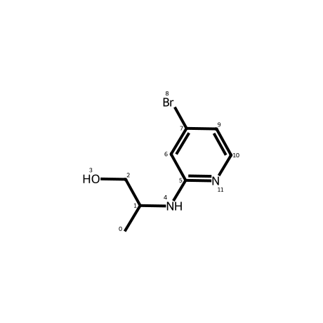 CC(CO)Nc1cc(Br)ccn1